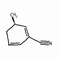 C[C@H]1C=C(C#N)C=CC1